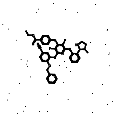 CCOC(=O)c1ccc(Sc2c(F)c(Oc3cc(C#N)ccc3OCc3ccccc3)nc(Oc3ccccc3C3NCCN3C)c2F)cc1